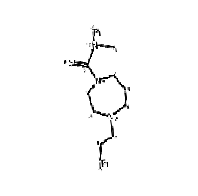 CC(C)CCN1CCCN(C(=S)N(C)C(C)C)CC1